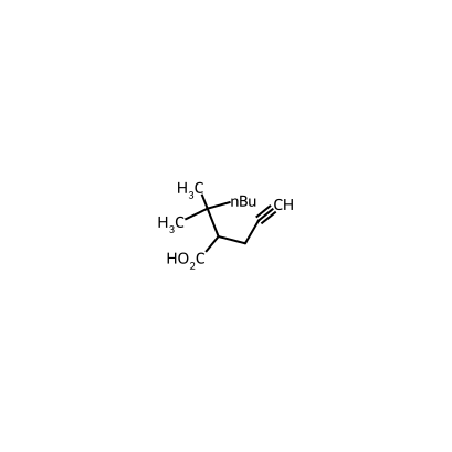 C#CCC(C(=O)O)C(C)(C)CCCC